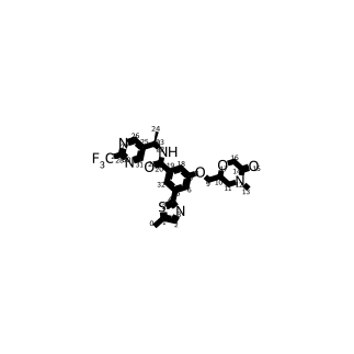 Cc1cnc(-c2cc(OCC3CN(C)C(=O)CO3)cc(C(=O)N[C@H](C)c3cnc(C(F)(F)F)nc3)c2)s1